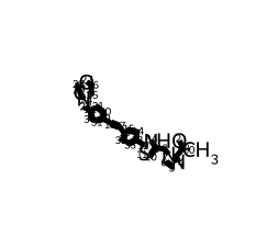 C[C@H](O)c1nccn1Cc1csc(-c2ccc(C#Cc3ccc(CN4CCOCC4)cc3)cc2)n1